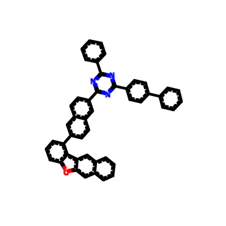 c1ccc(-c2ccc(-c3nc(-c4ccccc4)nc(-c4ccc5cc(-c6cccc7oc8cc9ccccc9cc8c67)ccc5c4)n3)cc2)cc1